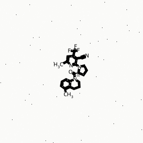 Cc1cc(C(F)(F)F)c(C#N)c(N2CCC[C@H]2C(=O)N2CCCc3c(C)cccc32)n1